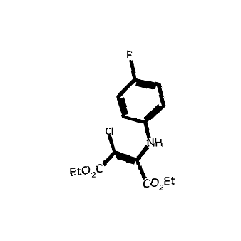 CCOC(=O)C(Cl)=C(Nc1ccc(F)cc1)C(=O)OCC